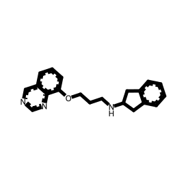 c1ccc2c(c1)CC(NCCCOc1cccc3cncnc13)C2